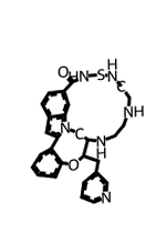 O=C1NSNCCNCCNC2Cn3c(cc4ccc1cc43)-c1ccccc1OC2Cc1cccnc1